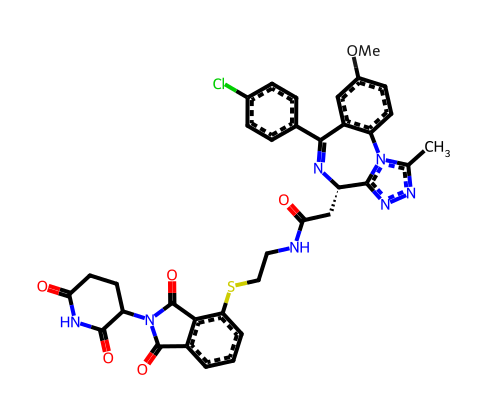 COc1ccc2c(c1)C(c1ccc(Cl)cc1)=N[C@@H](CC(=O)NCCSc1cccc3c1C(=O)N(C1CCC(=O)NC1=O)C3=O)c1nnc(C)n1-2